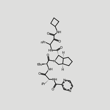 CCCC(NC(=O)[C@@H]1[C@H]2CCC[C@H]2CN1C(=O)[C@@H](NC(=O)[C@H](NC(=O)c1cnccn1)C(C)C)C(C)(C)C)C(=O)C(=O)NC1CCC1